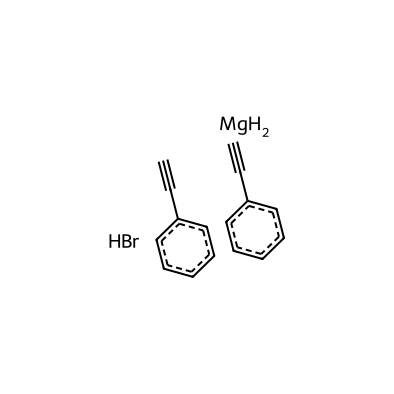 Br.C#Cc1ccccc1.C#Cc1ccccc1.[MgH2]